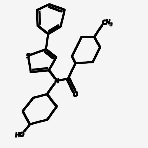 CC1CCC(C(=O)N(c2csc(-c3ccccc3)c2)C2CCC(O)CC2)CC1